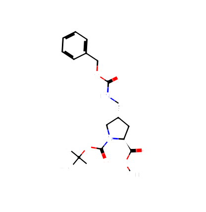 COC(=O)[C@@H]1C[C@@H](CNC(=O)OCc2ccccc2)CN1C(=O)OC(C)(C)C